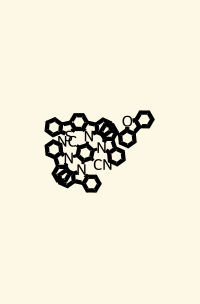 N#Cc1c(-n2c3ccccc3c3ccccc32)c(-n2c3ccccc3c3ccccc32)c(C#N)c(-n2c3cc(-c4cccc5c4oc4ccccc45)ccc3c3ccc4c5ccccc5sc4c32)c1-n1c2ccccc2c2ccccc21